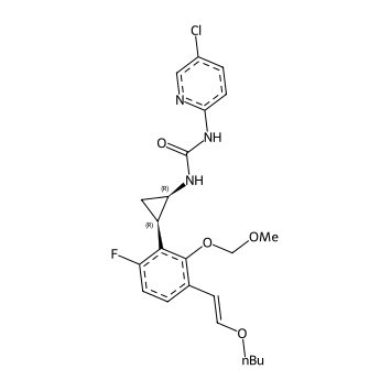 CCCCOC=Cc1ccc(F)c([C@H]2C[C@H]2NC(=O)Nc2ccc(Cl)cn2)c1OCOC